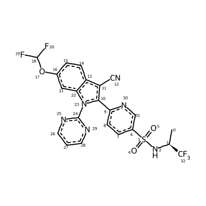 C[C@H](NS(=O)(=O)c1ccc(-c2c(C#N)c3ccc(OC(F)F)cc3n2-c2ncccn2)nc1)C(F)(F)F